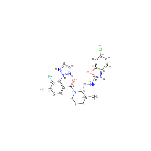 C[C@@H]1CCCN(C(=O)c2ccc(F)c(F)c2-n2nccn2)[C@@H]1CNc1nc2ccc(Cl)cc2o1